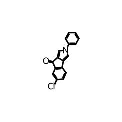 O=C1c2cc(Cl)ccc2-c2cn(-c3ccccc3)cc21